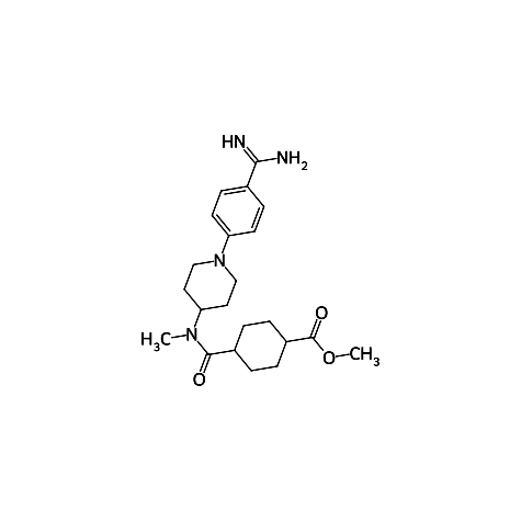 COC(=O)C1CCC(C(=O)N(C)C2CCN(c3ccc(C(=N)N)cc3)CC2)CC1